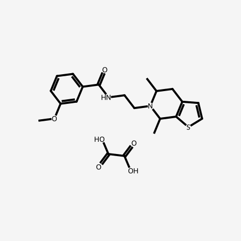 COc1cccc(C(=O)NCCN2C(C)Cc3ccsc3C2C)c1.O=C(O)C(=O)O